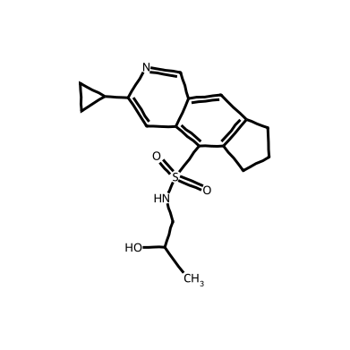 CC(O)CNS(=O)(=O)c1c2c(cc3cnc(C4CC4)cc13)CCC2